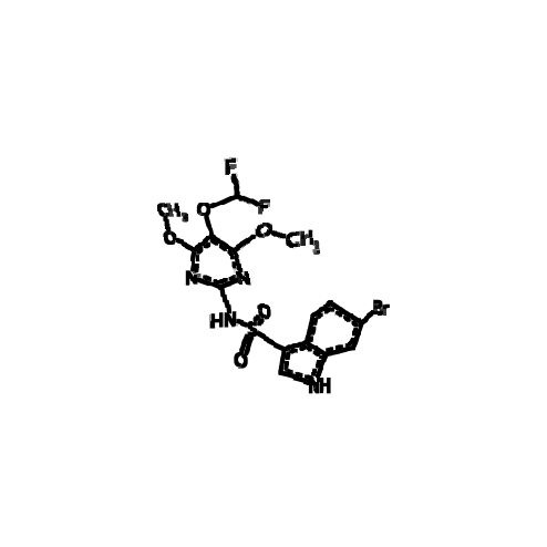 COc1nc(NS(=O)(=O)c2c[nH]c3cc(Br)ccc23)nc(OC)c1OC(F)F